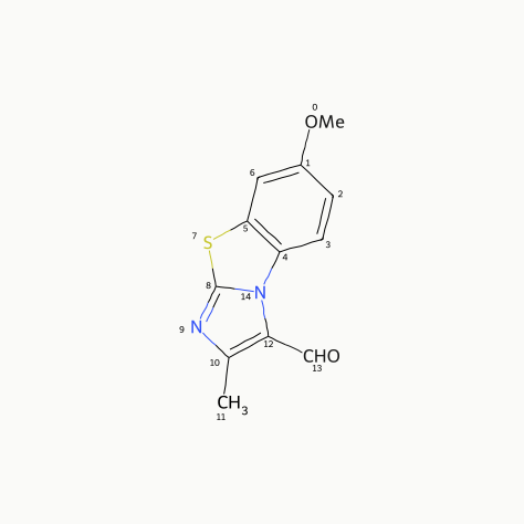 COc1ccc2c(c1)sc1nc(C)c(C=O)n12